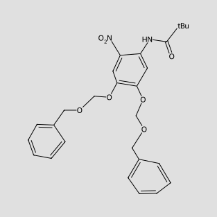 CC(C)(C)C(=O)Nc1cc(OCOCc2ccccc2)c(OCOCc2ccccc2)cc1[N+](=O)[O-]